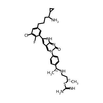 C[C@H](NCC[C@H](C)SC(=N)N)c1ccc(-n2cc3cc(-c4cc(CCCC(N)C5CC5)cc(Cl)c4F)[nH]c3nc2=O)cc1